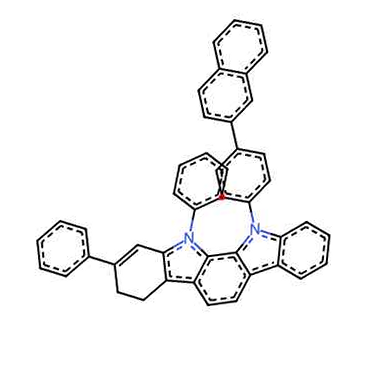 C1=C(c2ccccc2)CCc2c1n(-c1ccccc1)c1c2ccc2c3ccccc3n(-c3ccc(-c4ccc5ccccc5c4)cc3)c21